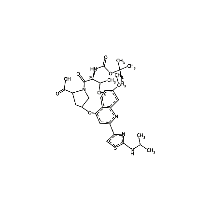 COc1ccc2c(OC3CC(C(=O)O)N(C(=O)[C@@H](NC(=O)OC(C)(C)C)C(C)C)C3)cc(-c3csc(NC(C)C)n3)nc2c1